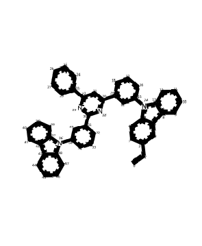 C=Cc1ccc2c(c1)c1ccccc1n2-c1cccc(-c2cc(-c3ccccc3)nc(-c3cccc(-n4c5ccccc5c5ccccc54)c3)n2)c1